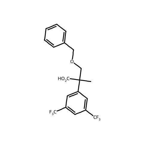 CC(COCc1ccccc1)(C(=O)O)c1cc(C(F)(F)F)cc(C(F)(F)F)c1